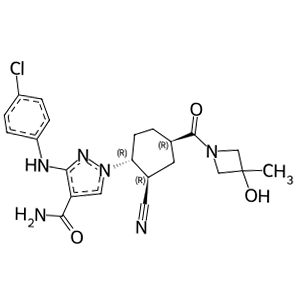 CC1(O)CN(C(=O)[C@@H]2CC[C@@H](n3cc(C(N)=O)c(Nc4ccc(Cl)cc4)n3)[C@H](C#N)C2)C1